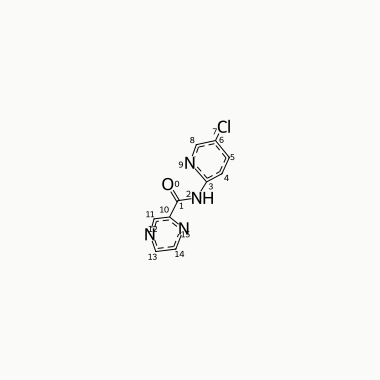 O=C(Nc1ccc(Cl)cn1)c1cnccn1